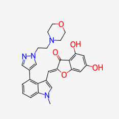 Cn1cc(C=C2Oc3cc(O)cc(O)c3C2=O)c2c(-c3cnn(CCN4CCOCC4)c3)cccc21